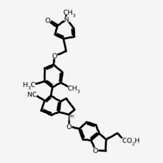 Cc1cc(OCc2ccn(C)c(=O)c2)cc(C)c1-c1c(C#N)ccc2c1CC[C@H]2Oc1ccc2c(c1)OCC2CC(=O)O